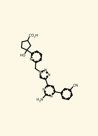 N#Cc1cccc(-c2cc(-c3cn(Cc4cccc(C5(O)CCC(C(=O)O)C5)n4)nn3)nc(N)n2)c1